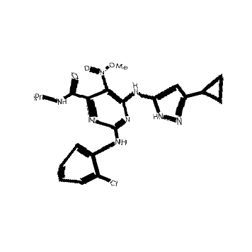 CO[N+](=O)c1c(Nc2cc(C3CC3)n[nH]2)nc(Nc2ccccc2Cl)nc1C(=O)NC(C)C